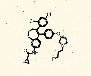 O=C(Nc1ccc2c(c1)CCCC(c1ccc(Cl)cc1Cl)=C2c1ccc(O[C@H]2CCN(CCCF)C2)cc1)C1CC1